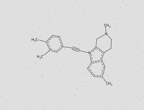 Cc1ccc2c(c1)c1c(n2C#Cc2ccc(C)c(C)c2)CN(C)CC1